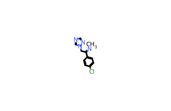 C/N=C(\Cn1cncn1)c1ccc(Cl)cc1